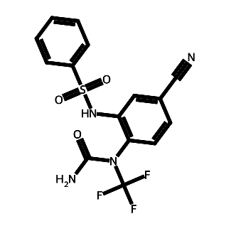 N#Cc1ccc(N(C(N)=O)C(F)(F)F)c(NS(=O)(=O)c2ccccc2)c1